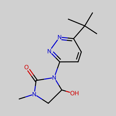 CN1CC(O)N(c2ccc(C(C)(C)C)nn2)C1=O